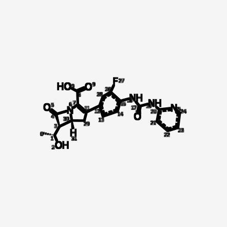 C[C@@H](O)[C@H]1C(=O)N2C(C(=O)O)=C(c3ccc(NC(=O)Nc4ccccn4)c(F)c3)C[C@H]12